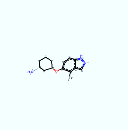 CC(C)c1c(O[C@@H]2CCC[C@@H](N)C2)ccc2[nH]ncc12